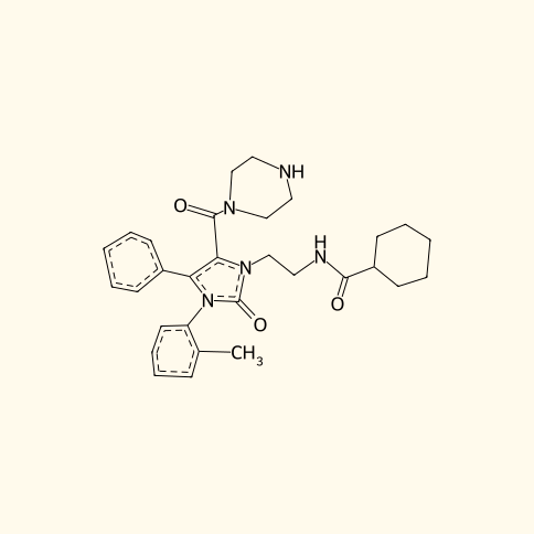 Cc1ccccc1-n1c(-c2ccccc2)c(C(=O)N2CCNCC2)n(CCNC(=O)C2CCCCC2)c1=O